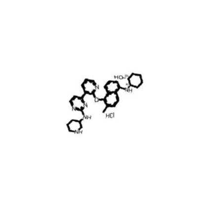 Cc1ccc2c(N[C@@H]3CCCC[C@H]3O)cccc2c1Oc1ncccc1-c1ccnc(NC2CCCNC2)n1.Cl